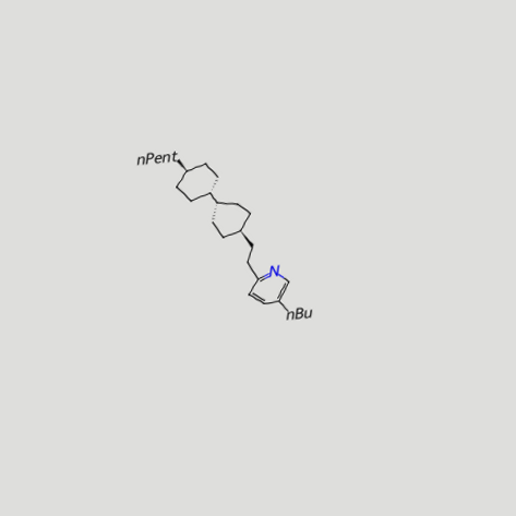 CCCCC[C@H]1CC[C@H]([C@H]2CC[C@H](CCc3ccc(CCCC)cn3)CC2)CC1